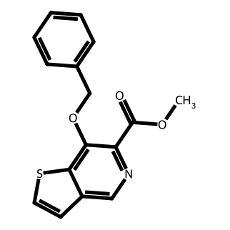 COC(=O)c1ncc2ccsc2c1OCc1ccccc1